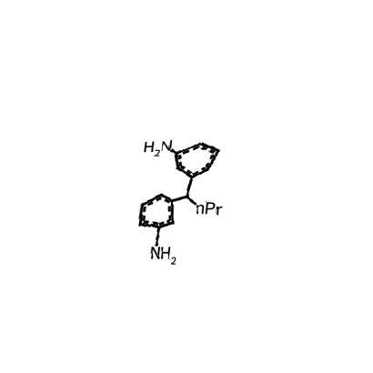 CCCC(c1cccc(N)c1)c1cccc(N)c1